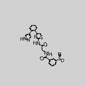 O=C(CNC(=O)c1cccc([SH](=O)=O)c1)Nc1nc(-c2ccccc2-c2cn[nH]c2)cs1